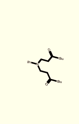 CC(C)N(CCC(=O)C(C)(C)C)CCC(=O)C(C)(C)C